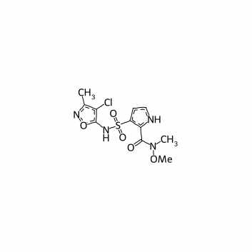 CON(C)C(=O)c1[nH]ccc1S(=O)(=O)Nc1onc(C)c1Cl